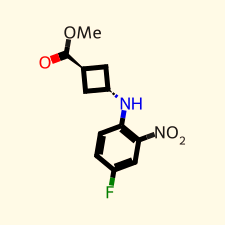 COC(=O)[C@H]1C[C@H](Nc2ccc(F)cc2[N+](=O)[O-])C1